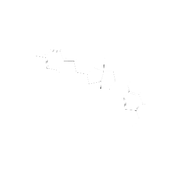 COc1ccc(O[C@@H]2C[C@@H]3CN(CC(O)c4ccc(O)cc4)C[C@@H]3C2)cc1